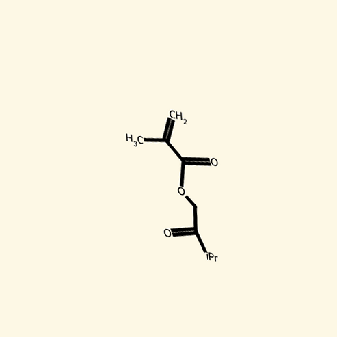 C=C(C)C(=O)OCC(=O)C(C)C